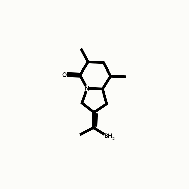 B/C(C)=C1\CC2C(C)CC(C)C(=O)N2C1